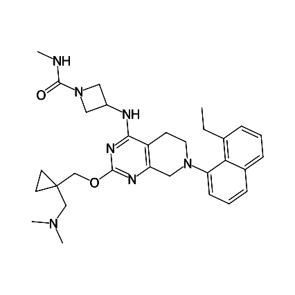 CCc1cccc2cccc(N3CCc4c(nc(OCC5(CN(C)C)CC5)nc4NC4CN(C(=O)NC)C4)C3)c12